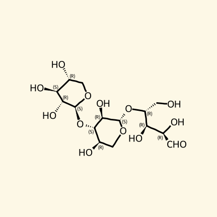 O=C[C@H](O)[C@@H](O)[C@@H](CO)O[C@@H]1OC[C@@H](O)[C@H](O[C@@H]2OC[C@@H](O)[C@H](O)[C@H]2O)[C@H]1O